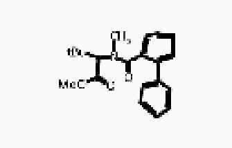 COC(=O)C(N(C)C(=O)c1ccccc1-c1ccccc1)C(C)(C)C